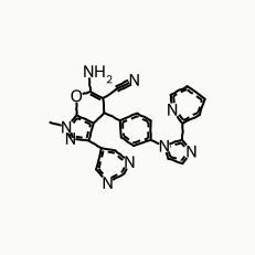 Cn1nc(-c2cncnc2)c2c1OC(N)=C(C#N)C2c1ccc(-n2ccnc2-c2ccccn2)cc1